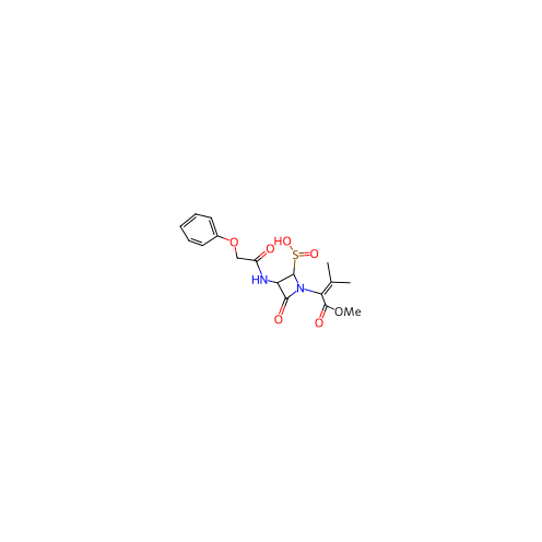 COC(=O)C(=C(C)C)N1C(=O)C(NC(=O)COc2ccccc2)C1S(=O)O